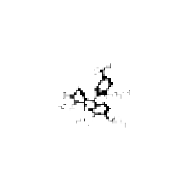 CCC(=O)c1ccc(C(=O)O)c(-c2c3ccc(=N)c(S(=O)(=O)O)c-3oc3c(S(=O)(=O)O)c(N)ccc23)c1